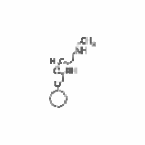 C=C(CCNCC)NC(=O)COC1CCCCCCC1